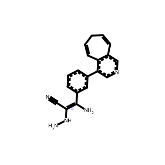 N#C/C(NN)=C(/N)c1cccc(-c2cncc3c2C=CCC=C3)c1